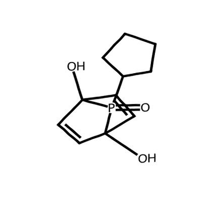 O=P1(C2CCCC2)C2(O)C=CC1(O)C=C2